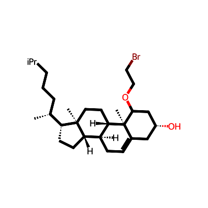 CC(C)CCC[C@@H](C)[C@H]1CC[C@H]2[C@@H]3CC=C4C[C@@H](O)CC(OCCBr)[C@]4(C)[C@H]3CC[C@]12C